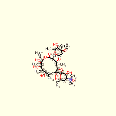 CC[C@H]1OC(=O)[C@H](C)[C@@H](O[C@H]2C[C@@](C)(OC)[C@@H](O)[C@H](C)O2)[C@H](C)[C@@H](O[C@@H]2O[C@H](C)C[C@H]([N+](C)(C)[O-])[C@H]2O)C(C)(O)C[C@@H](C)[C@H](O)[C@H](C)[C@@H](O)[C@]1(C)O